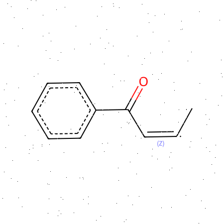 C/[C]=C\C(=O)c1ccccc1